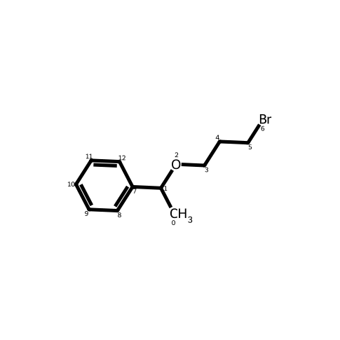 CC(OCCCBr)c1ccccc1